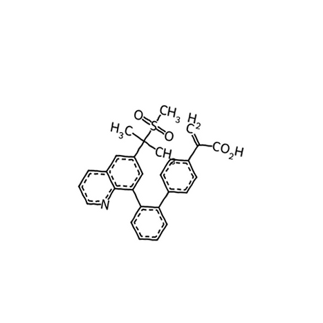 C=C(C(=O)O)c1ccc(-c2ccccc2-c2cc(C(C)(C)S(C)(=O)=O)cc3cccnc23)cc1